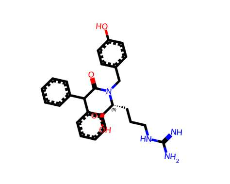 N=C(N)NCCC[C@H](C(=O)O)N(Cc1ccc(O)cc1)C(=O)C(c1ccccc1)c1ccccc1